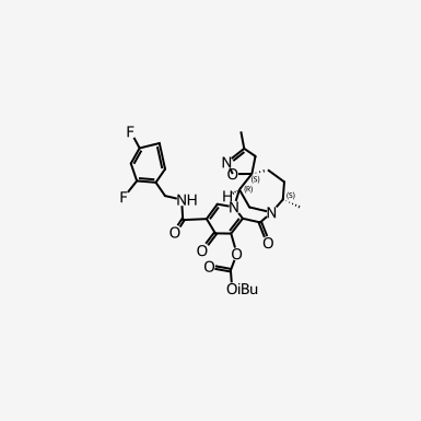 CC1=NO[C@@]2(CC[C@H](C)N3C[C@H]2n2cc(C(=O)NCc4ccc(F)cc4F)c(=O)c(OC(=O)OCC(C)C)c2C3=O)C1